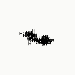 CC(C)C[C@H](NC(=O)[C@H](CS)NC(=O)[C@H](CO)NC(=O)[C@H](CC(=O)O)NC(=O)[C@@H](NC(=O)[C@@H](NC(=O)[C@H](CS)NC(=O)[C@H](C)N)[C@@H](C)O)C(C)C)C(=O)N[C@H](C(=O)N[C@@H](CS)C(=O)NCC(=O)NCC(=O)NCC(=O)N[C@@H](Cc1c[nH]cn1)C(=O)N[C@@H](Cc1c[nH]cn1)C(=O)N[C@@H](Cc1c[nH]cn1)C(=O)N[C@@H](Cc1c[nH]cn1)C(=O)O)[C@@H](C)O